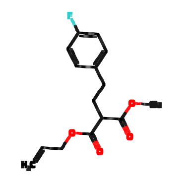 C=CCOC(=O)C(CCc1ccc(F)cc1)C(=O)OC(C)(C)C